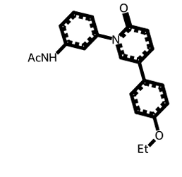 CCOc1ccc(-c2ccc(=O)n(-c3cccc(NC(C)=O)c3)c2)cc1